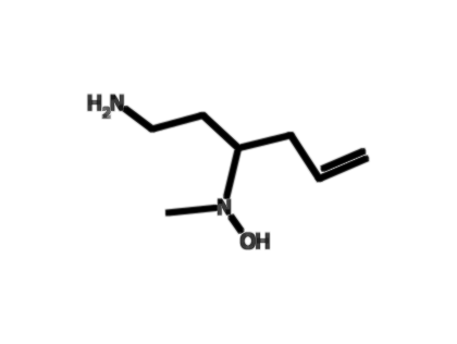 C=CCC(CCN)N(C)O